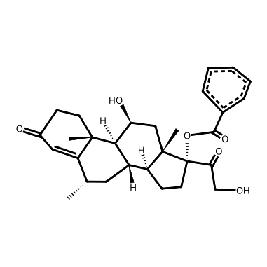 C[C@H]1C[C@@H]2[C@H]([C@@H](O)C[C@@]3(C)[C@H]2CC[C@]3(OC(=O)c2ccccc2)C(=O)CO)[C@@]2(C)CCC(=O)C=C12